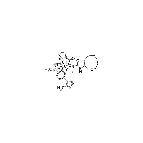 Cc1ncsc1-c1ccc([C@H](C)NC(=O)[C@@H]2CCCN2C(=O)C(NC(=O)BC2CCCCCCCCC2)C(C)(C)C)cc1